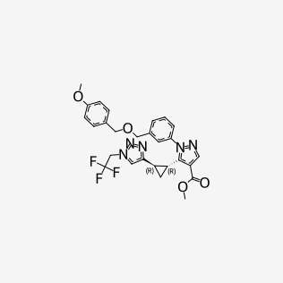 COC(=O)c1cnn(-c2cccc(COCc3ccc(OC)cc3)c2)c1[C@@H]1C[C@H]1c1cn(CC(F)(F)F)nn1